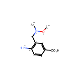 CCON(Cc1cc(C(=O)O)ccc1N)C(C)=O